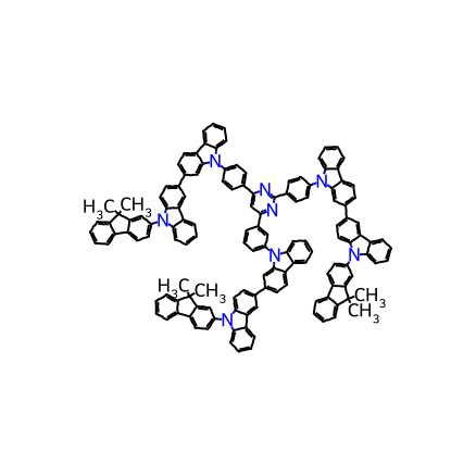 CC1(C)c2ccccc2-c2ccc(-n3c4ccccc4c4cc(-c5ccc6c7ccccc7n(-c7ccc(-c8cc(-c9cccc(-n%10c%11ccccc%11c%11ccc(-c%12ccc%13c(c%12)c%12ccccc%12n%13-c%12ccc%13c(c%12)C(C)(C)c%12ccccc%12-%13)cc%11%10)c9)nc(-c9ccc(-n%10c%11ccccc%11c%11ccc(-c%12ccc%13c(c%12)c%12ccccc%12n%13-c%12ccc%13c(c%12)C(C)(C)c%12ccccc%12-%13)cc%11%10)cc9)n8)cc7)c6c5)ccc43)cc21